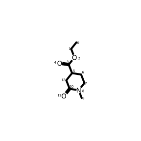 CCOC(=O)C1CCN(C)C(=O)C1